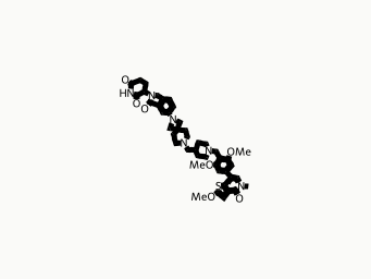 COc1cc2c(=O)n(C)cc(-c3cc(OC)c(CN4CCC(CN5CCC6(CC5)CN(c5ccc7c(c5)C(=O)N(C5CCC(=O)NC5=O)C7)C6)CC4)c(OC)c3)c2s1